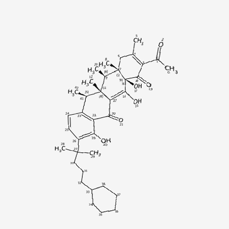 CC(=O)C1=C(C)C[C@@]2(C)[C@H](C)[C@]3(C)C(=C(O)[C@@]2(O)C1=O)C(=O)c1c(ccc(C(C)(C)CCCC2CCCCC2)c1O)[C@H]3C